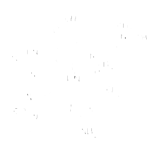 C=CC(=O)Nc1cc(Nc2nccc(-n3c(=O)n(C4CC4)c4cc(C(N)=O)ccc43)n2)c(OC)cc1N(C)CCN(C)C